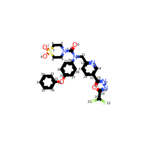 O=C(N1CCS(=O)(=O)CC1)N(Cc1ccc(-c2nnc(C(F)F)o2)cn1)c1ccc(Oc2ccccc2)cc1